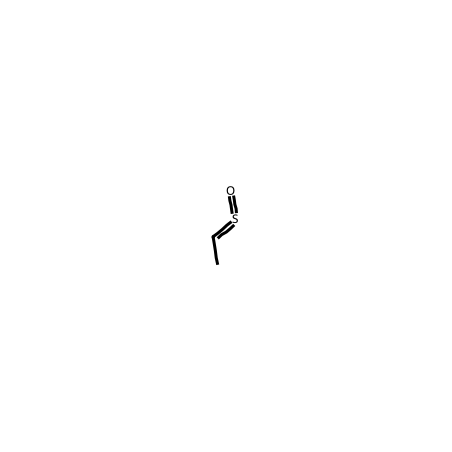 CC=S=O